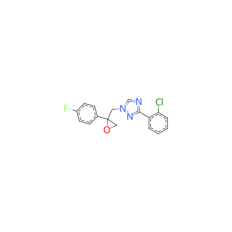 Fc1ccc(C2(Cn3cnc(-c4ccccc4Cl)n3)CO2)cc1